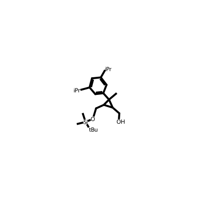 CC(C)c1cc(C(C)C)cc(C2(C)C(CO)C2CO[Si](C)(C)C(C)(C)C)c1